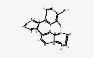 Cc1cc(-c2ncccc2-c2ccc3nccnc3c2)ccc1F